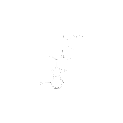 CNC(=O)C1CCCN(C(=O)c2cc3c(Br)cccc3[nH]2)C1